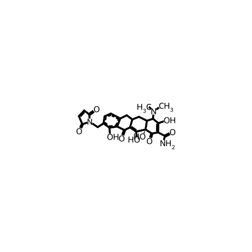 CN(C)C1C(O)=C(C(N)=O)C(=O)[C@@]2(O)C(O)=C3C(=O)c4c(ccc(CN5C(=O)C=CC5=O)c4O)CC3CC12